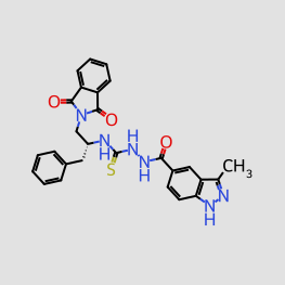 Cc1n[nH]c2ccc(C(=O)NNC(=S)N[C@H](Cc3ccccc3)CN3C(=O)c4ccccc4C3=O)cc12